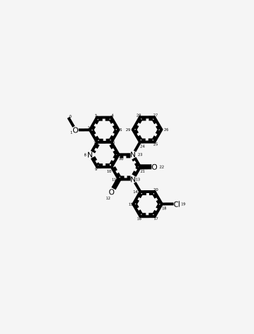 COc1cccc2c1ncc1c(=O)n(-c3cccc(Cl)c3)c(=O)n(-c3ccccc3)c12